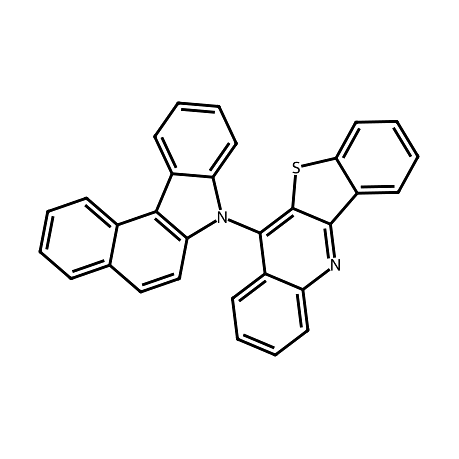 c1ccc2c(c1)ccc1c2c2ccccc2n1-c1c2ccccc2nc2c1sc1ccccc12